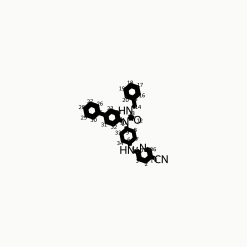 N#Cc1ccc(NC2CCC(N(C(=O)NCc3ccccc3)c3ccc(-c4ccccc4)cc3)CC2)nc1